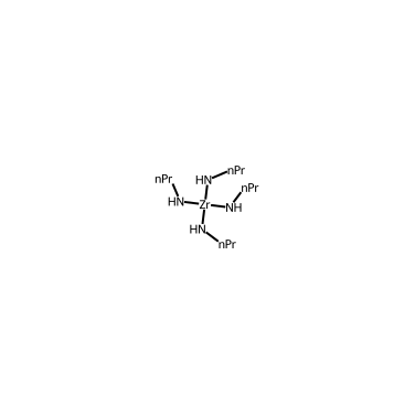 CCC[NH][Zr]([NH]CCC)([NH]CCC)[NH]CCC